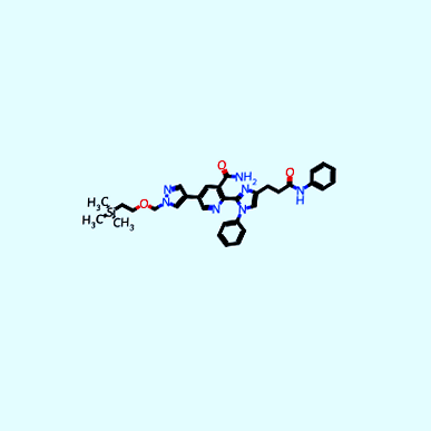 C[Si](C)(C)CCOCn1cc(-c2cnc(-c3nc(CCC(=O)Nc4ccccc4)cn3-c3ccccc3)c(C(N)=O)c2)cn1